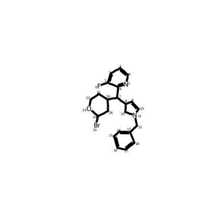 Fc1cccnc1C(C1C=CN(Cc2ccccc2)C1)C1CCOC(Br)C1